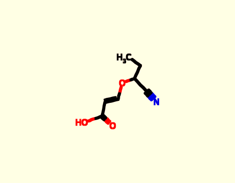 CCC(C#N)OC=CC(=O)O